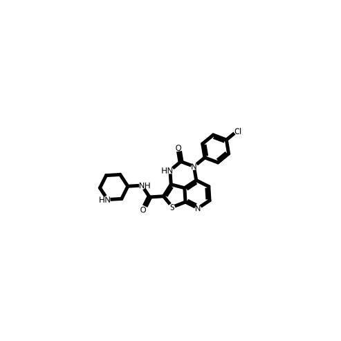 O=C(NC1CCCNC1)c1sc2nccc3c2c1NC(=O)N3c1ccc(Cl)cc1